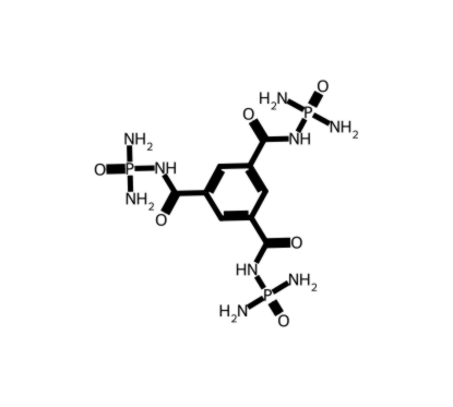 NP(N)(=O)NC(=O)c1cc(C(=O)NP(N)(N)=O)cc(C(=O)NP(N)(N)=O)c1